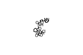 O=C(NCC(=O)C1CCCCC1N1C[C@H](Cl)[C@H]2OCC(=O)[C@H]21)c1ccc(-c2cccnn2)o1